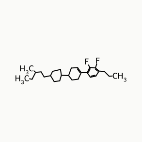 CCCc1ccc(C2=CCC(C3CCC(CCC(C)CC)CC3)CC2)c(F)c1F